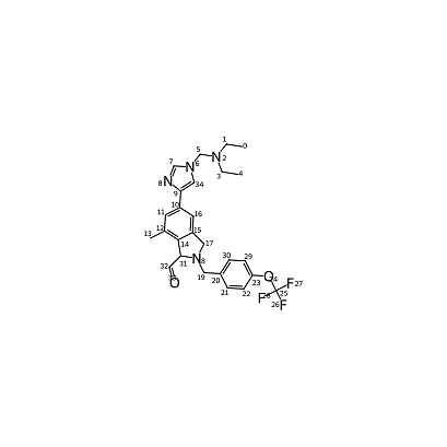 CCN(CC)Cn1cnc(-c2cc(C)c3c(c2)CN(Cc2ccc(OC(F)(F)F)cc2)C3C=O)c1